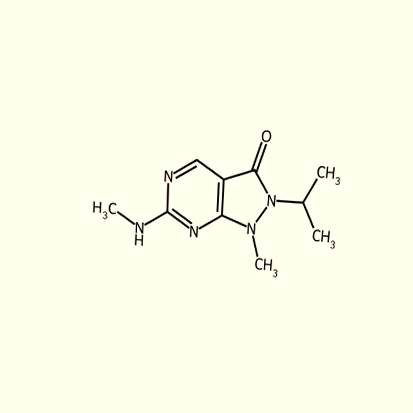 CNc1ncc2c(=O)n(C(C)C)n(C)c2n1